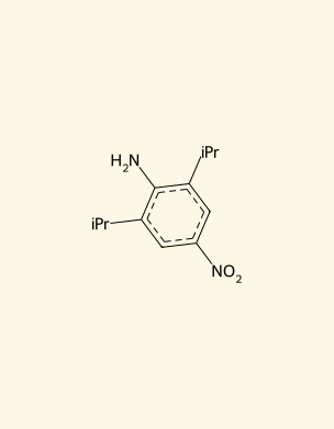 CC(C)c1cc([N+](=O)[O-])cc(C(C)C)c1N